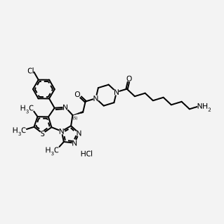 Cc1sc2c(c1C)C(c1ccc(Cl)cc1)=N[C@@H](CC(=O)N1CCN(C(=O)CCCCCCCN)CC1)c1nnc(C)n1-2.Cl